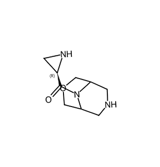 O=C([C@H]1CN1)N1C2CNCC1COC2